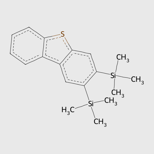 C[Si](C)(C)c1cc2sc3ccccc3c2cc1[Si](C)(C)C